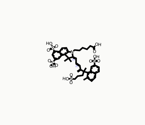 C=C(/C=C/C=C1/N(CCCCCC(=O)O)c2ccc3c(S(=O)(=O)O)cc(S(=O)(=O)O)cc3c2C1(C)C)C(C)(CCCS(=O)(=O)O)c1c(C)ccc2ccc(S(=O)(=O)O)cc12